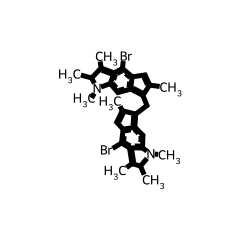 CC1=Cc2c(Br)c3c(cc2=C1CC1=c2cc4c(c(Br)c2C=C1C)=C(C)C(C)N4C)N(C)C(C)C=3C